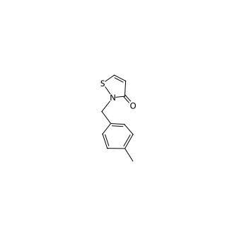 Cc1ccc(Cn2sccc2=O)cc1